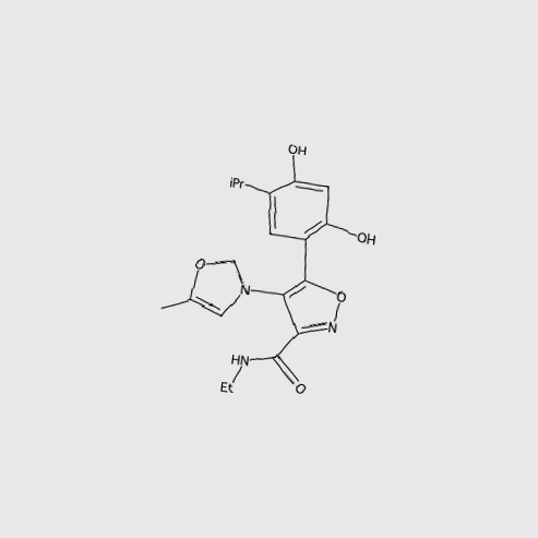 CCNC(=O)c1noc(-c2cc(C(C)C)c(O)cc2O)c1N1C=C(C)OC1